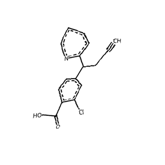 C#CCC(c1ccc(C(=O)O)c(Cl)c1)c1ccccn1